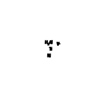 [AlH3].[Ni].[Ti].[V]